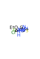 CCOC(=O)C1(c2cnc(Nc3ccc(F)c(Cl)c3)nc2-n2nc(-c3nccs3)cc2C)C=CCN=C1